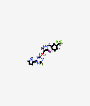 Cn1cccc1-c1nc(F)nc(OCc2nnn(Cc3cccc(C(F)(F)F)c3)c2I)n1